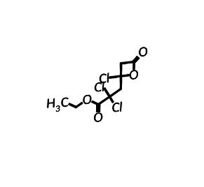 CCOC(=O)C(Cl)(Cl)CC1(Cl)CC(=O)O1